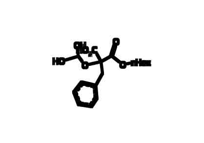 CCCCCCOC(=O)C(Cc1ccccc1)(OC(O)O)C(=O)O